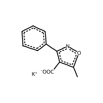 Cc1onc(-c2ccccc2)c1C(=O)[O-].[K+]